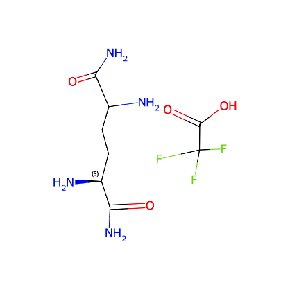 NC(=O)C(N)CC[C@H](N)C(N)=O.O=C(O)C(F)(F)F